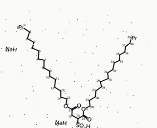 CC(C)CCCCCCCCCCCCCCCOC(=O)CC(C(=O)OCCCCCCCCCCCCCCCC(C)C)S(=O)(=O)O.[NaH].[NaH]